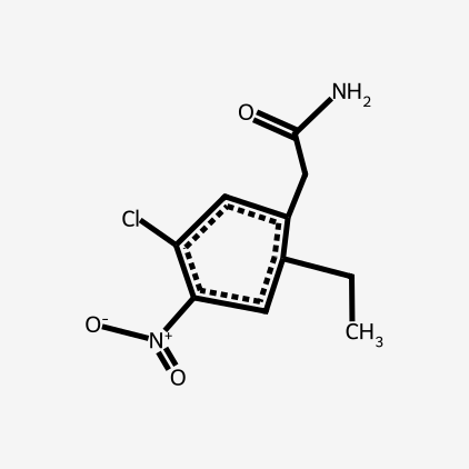 CCc1cc([N+](=O)[O-])c(Cl)cc1CC(N)=O